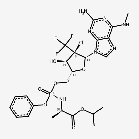 CNc1nc(N)nc2c1ncn2[C@@H]1O[C@H](CO[P@@](=O)(N[C@H](C)C(=O)OC(C)C)Oc2ccccc2)[C@@H](O)[C@]1(Cl)C(F)(F)F